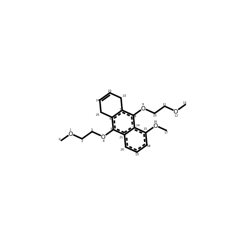 COCCOc1c2c(c(OCCOC)c3c(OC)cccc13)CC=CC2